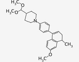 COc1ccc2c(c1)C(C)CC=C2c1ccc(N2CCC(C(OC)OC)CC2)cc1